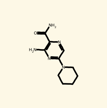 NC(=O)c1ncc(N2CCCCC2)nc1N